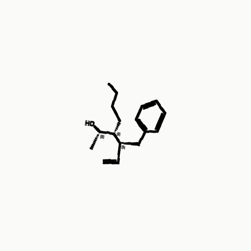 C=C[C@H](Cc1ccccc1)[C@@H](CCCC)[C@H](C)O